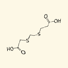 O=C(O)CCSCSCC(=O)O